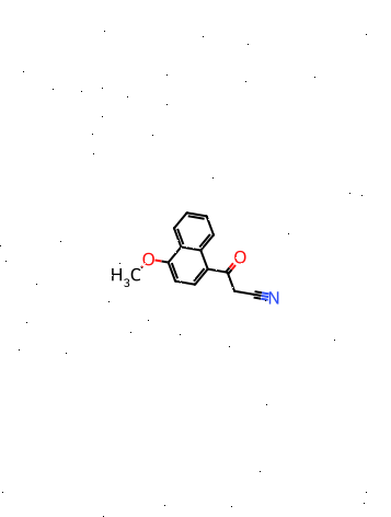 COc1ccc(C(=O)CC#N)c2ccccc12